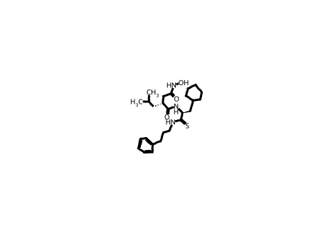 CC(C)C[C@H](CC(=O)NO)C(=O)N[C@@H](CC1CCCCC1)C(=S)NCCCc1ccccc1